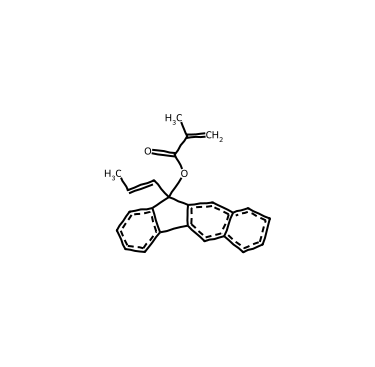 C=C(C)C(=O)OC1(/C=C/C)c2ccccc2-c2cc3ccccc3cc21